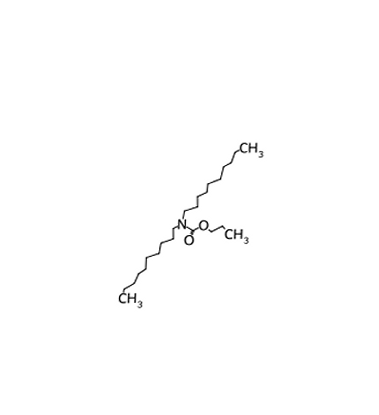 CCCCCCCCCCN(CCCCCCCCCC)C(=O)OCCC